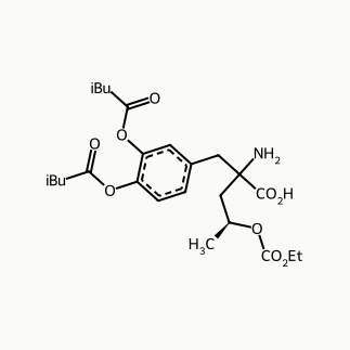 CCOC(=O)O[C@@H](C)CC(N)(Cc1ccc(OC(=O)C(C)CC)c(OC(=O)C(C)CC)c1)C(=O)O